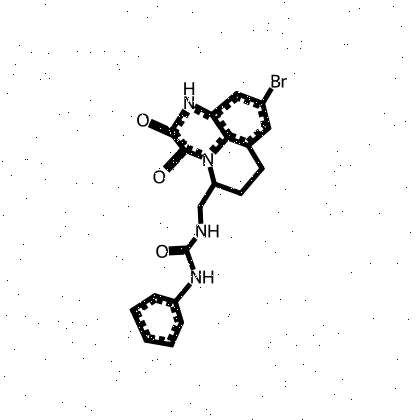 O=C(NCC1CCc2cc(Br)cc3[nH]c(=O)c(=O)n1c23)Nc1ccccc1